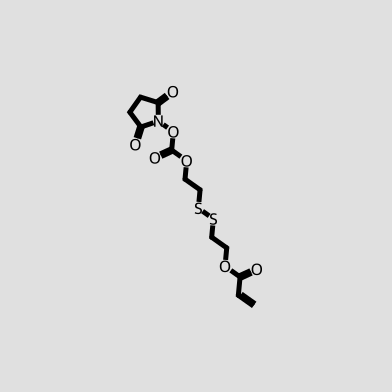 C=CC(=O)OCCSSCCOC(=O)ON1C(=O)CCC1=O